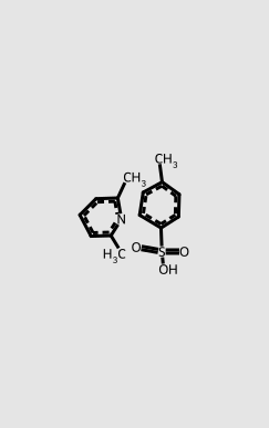 Cc1ccc(S(=O)(=O)O)cc1.Cc1cccc(C)n1